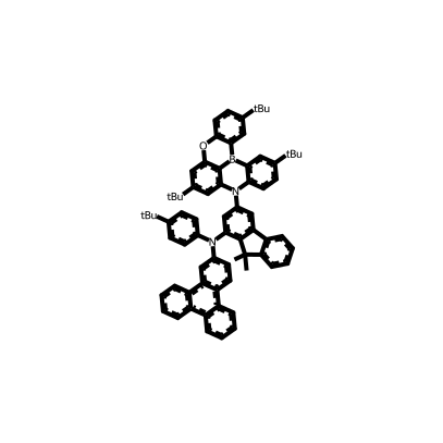 CC(C)(C)c1ccc(N(c2ccc3c4ccccc4c4ccccc4c3c2)c2cc(N3c4ccc(C(C)(C)C)cc4B4c5cc(C(C)(C)C)ccc5Oc5cc(C(C)(C)C)cc3c54)cc3c2C(C)(C)c2ccccc2-3)cc1